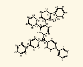 C1=CC(c2ccccc2)CC=C1N(c1ccc(-c2ccccc2)cc1)C1C=CC(C2=CCCc3c2oc2ccccc32)=C(c2ccccc2)C1